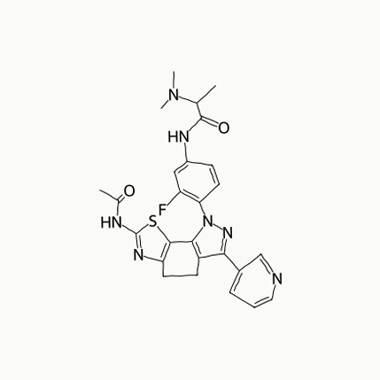 CC(=O)Nc1nc2c(s1)-c1c(c(-c3cccnc3)nn1-c1ccc(NC(=O)C(C)N(C)C)cc1F)CC2